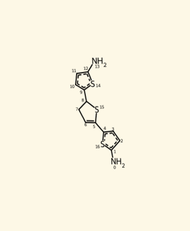 Nc1ccc(C2=CCC(c3ccc(N)s3)S2)s1